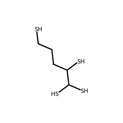 SCCCC(S)C(S)S